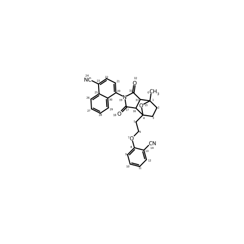 CC12CCC(CCOc3ccccc3C#N)(O1)C1C(=O)N(c3ccc(C#N)c4ccccc34)C(=O)C12